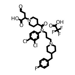 O=C(O)C(F)(F)F.O=CCC(C(=O)O)N1CCC(C(=O)N(CCCN2CCC(Cc3ccc(F)cc3)CC2)c2ccc(Cl)c(Cl)c2)CC1